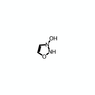 ON1C=CON1